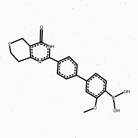 COc1cc(-c2ccc(-c3nc4c(c(=O)[nH]3)CSCC4)cc2)ccc1B(O)O